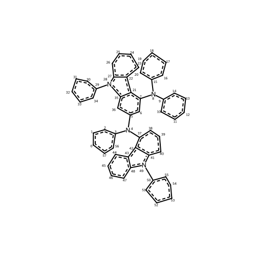 c1ccc(N(c2cc(N(c3ccccc3)c3ccccc3)c3c4ccccc4n(-c4ccccc4)c3c2)c2cccc3c2c2ccccc2n3-c2ccccc2)cc1